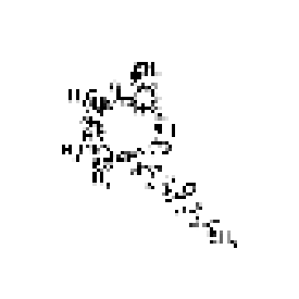 C/C=C1\NC(=O)c2nc(ccc2SC)CNC(=O)C[C@@H](/C=C/CCSC(=O)CCCCC)OC(=O)[C@H](C(C)C)NC1=O